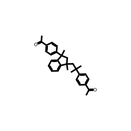 CC(=O)c1ccc(C(C)(C)CC2(C)CC(C)(c3ccc(C(C)=O)cc3)c3ccccc32)cc1